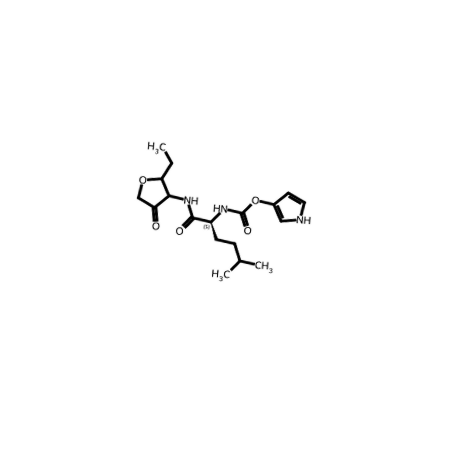 CCC1OCC(=O)C1NC(=O)[C@H](CCC(C)C)NC(=O)Oc1cc[nH]c1